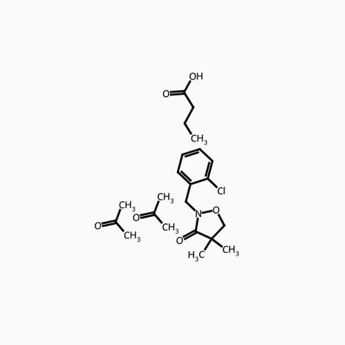 CC(C)=O.CC(C)=O.CC1(C)CON(Cc2ccccc2Cl)C1=O.CCCC(=O)O